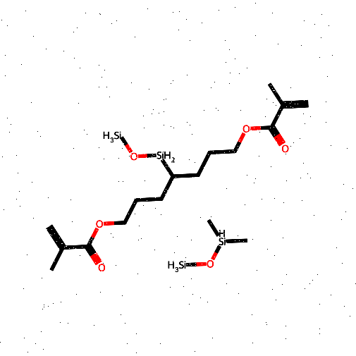 C=C(C)C(=O)OCCCC(CCCOC(=O)C(=C)C)[SiH2]O[SiH3].C[SiH](C)O[SiH3]